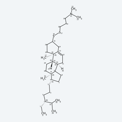 CC[C@H](CCC[C@H]1CCC2[C@@H]3CC=C4CC(SSCCCN(C)C)CC[C@]4(C)[C@H]3CC[C@@]21C)C(C)C